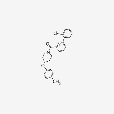 Cc1ccc(OC2CCN(C(=O)c3cccc(-c4ccccc4Cl)n3)CC2)cc1